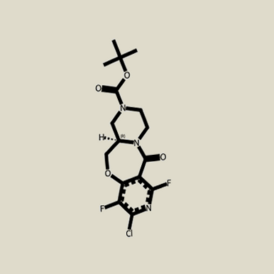 CC(C)(C)OC(=O)N1CCN2C(=O)c3c(F)nc(Cl)c(F)c3OC[C@H]2C1